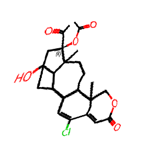 CC(=O)O[C@]1(C(C)=O)CC2(O)CC3C4C=C(Cl)C5=CC(=O)OCC5(C)C4CCC1(C)C32